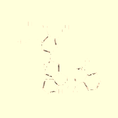 COc1cc(-c2cc(C[N+](C)(c3ccccc3)S(=O)(=O)c3ccccc3[N+](=O)[O-])ccn2)cc(OC)c1OC